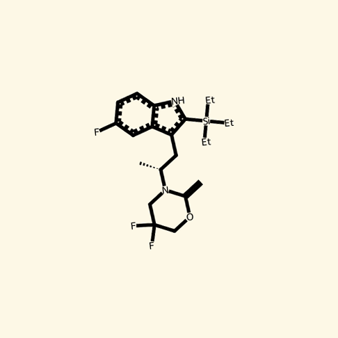 C=C1OCC(F)(F)CN1[C@H](C)Cc1c([Si](CC)(CC)CC)[nH]c2ccc(F)cc12